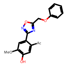 COc1cc(-c2noc(COc3ccccc3)n2)c(C(C)=O)cc1O